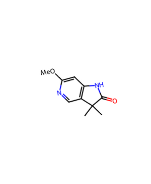 COc1cc2c(cn1)C(C)(C)C(=O)N2